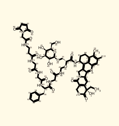 CC[C@@]1(O)C(=O)OCc2c1cc1n(c2=O)Cc2c-1nc1cc(F)c(C)c3c1c2[C@@H](NC(=O)[C@@H](CO[C@@H]1O[C@H](CO)[C@H](O)[C@H](O)[C@H]1O)OCNC(=O)CNC(=O)[C@H](Cc1ccccc1)NC(=O)CNC(=O)CNC(=O)CCNC(=O)CN1C(=O)C=CC1=O)CC3